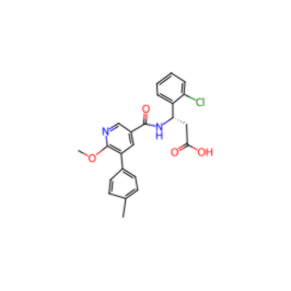 COc1ncc(C(=O)N[C@@H](CC(=O)O)c2ccccc2Cl)cc1-c1ccc(C)cc1